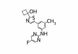 Cc1cc(Nc2ncc(F)cn2)cc(-c2cnc(C3(O)CCC3)s2)c1